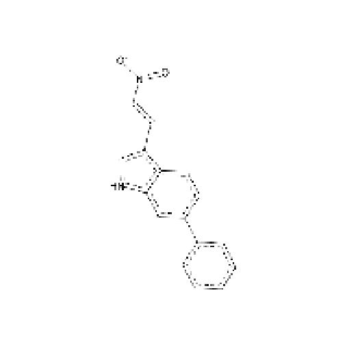 O=[N+]([O-])C=Cc1c[nH]c2cc(-c3ccccc3)ccc12